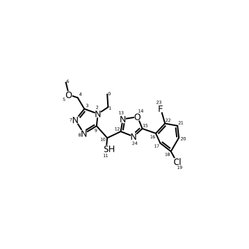 CCn1c(COC)nnc1C(S)c1noc(-c2cc(Cl)ccc2F)n1